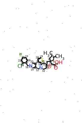 CCCC1(CCC)CC2(CCN(C[C@H]3CN(Cc4ccc(F)cc4Cl)C[C@@H]3c3ccsc3)CC2)OC1C(=O)O